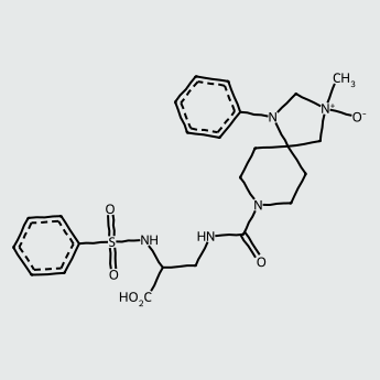 C[N+]1([O-])CN(c2ccccc2)C2(CCN(C(=O)NCC(NS(=O)(=O)c3ccccc3)C(=O)O)CC2)C1